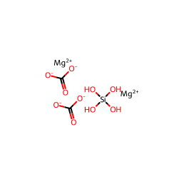 O=C([O-])[O-].O=C([O-])[O-].O[Si](O)(O)O.[Mg+2].[Mg+2]